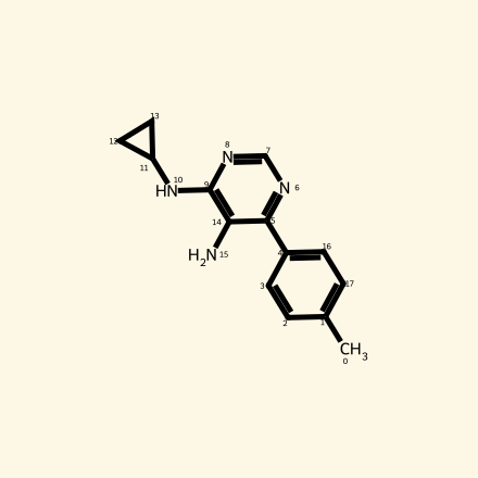 Cc1ccc(-c2ncnc(NC3CC3)c2N)cc1